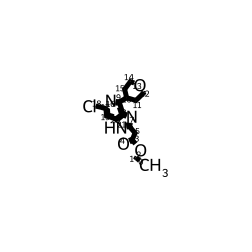 CCOC(=O)Cc1nc2c(C3CCOCC3)nc(Cl)cc2[nH]1